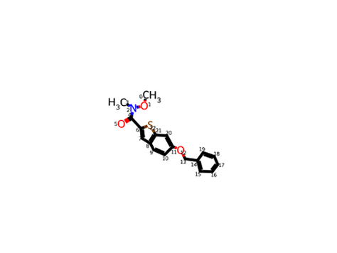 CON(C)C(=O)c1cc2ccc(OCc3ccccc3)cc2s1